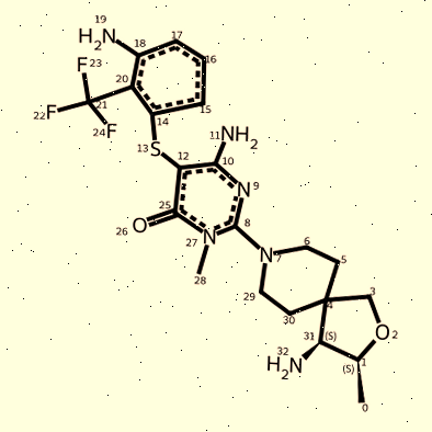 C[C@@H]1OCC2(CCN(c3nc(N)c(Sc4cccc(N)c4C(F)(F)F)c(=O)n3C)CC2)[C@@H]1N